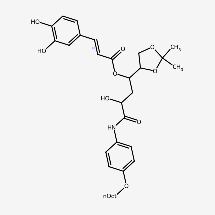 CCCCCCCCOc1ccc(NC(=O)C(O)CC(OC(=O)/C=C/c2ccc(O)c(O)c2)C2COC(C)(C)O2)cc1